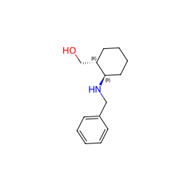 OC[C@@H]1CCCC[C@H]1NCc1ccccc1